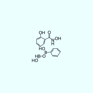 O=C(NO)c1ccccc1O.OBOB(O)c1ccccc1